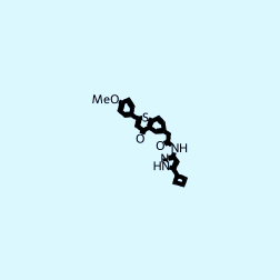 COc1ccc(-c2cc(=O)c3cc(CC(=O)Nc4cc(C5CCC5)[nH]n4)ccc3s2)cc1